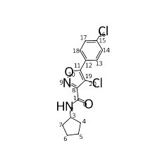 O=C(NC1CCCC1)c1noc(-c2ccc(Cl)cc2)c1Cl